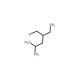 CCC(C[S])CC(C)C